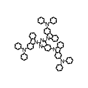 c1ccc(N(c2ccccc2)c2ccc3c(c2)c2ccccc2n3-c2ccc3nc(-n4c5ccccc5c5cc(N(c6ccccc6)c6ccccc6)ccc54)nc(-n4c5ccccc5c5cc(N(c6ccccc6)c6ccccc6)ccc54)c3c2)cc1